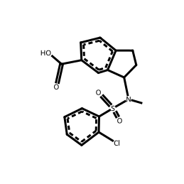 CN(C1CCc2ccc(C(=O)O)cc21)S(=O)(=O)c1ccccc1Cl